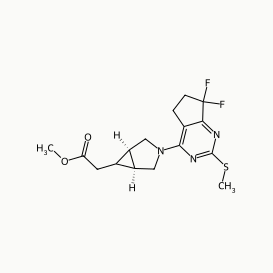 COC(=O)CC1[C@H]2CN(c3nc(SC)nc4c3CCC4(F)F)C[C@@H]12